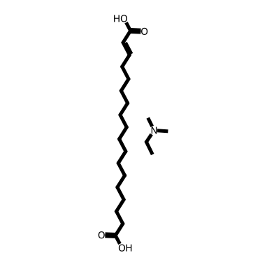 CCN(C)C.O=C(O)C=CCCCCCCCCCCCCCCC(=O)O